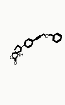 O=C1N[C@@]2(CC[C@@H](c3ccc(C#CCOCc4ccccc4)cc3)C2)CO1